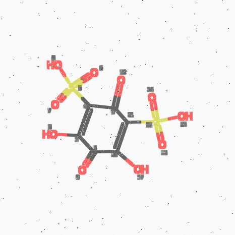 O=C1C(O)=C(S(=O)(=O)O)C(=O)C(S(=O)(=O)O)=C1O